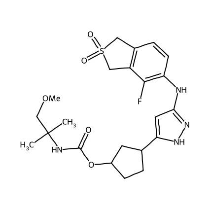 COCC(C)(C)NC(=O)OC1CCC(c2cc(Nc3ccc4c(c3F)CS(=O)(=O)C4)n[nH]2)C1